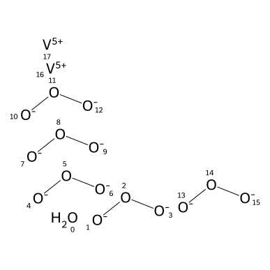 O.[O-]O[O-].[O-]O[O-].[O-]O[O-].[O-]O[O-].[O-]O[O-].[V+5].[V+5]